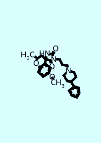 COc1ccc2c(c1)C1(CC(C)O2)NC(=O)N(CCCN2CCC(c3ccccc3)CC2)C1=O